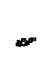 FC(F)(F)c1nocc1CN1CC2(CNC2)C1